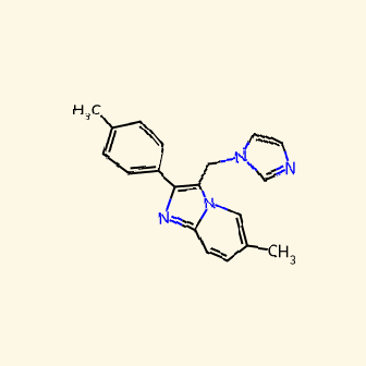 Cc1ccc(-c2nc3ccc(C)cn3c2Cn2ccnc2)cc1